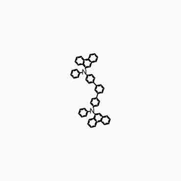 c1ccc(N(c2ccc(-c3cccc(-c4ccc(N(c5ccccc5)c5cc6ccccc6c6ccccc56)cc4)c3)cc2)c2cc3ccccc3c3ccccc23)cc1